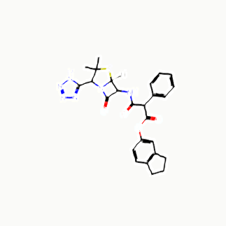 CC1(C)S[C@@H]2C(NC(=O)C(C(=O)Oc3ccc4c(c3)CCC4)c3ccccc3)C(=O)N2C1c1nnn[nH]1